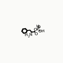 N[C@@H](Cc1ccccc1)C(=O)O[PH](=O)O